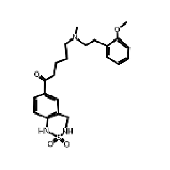 COc1ccccc1CCN(C)CCCCC(=O)c1ccc2c(c1)CNS(=O)(=O)N2